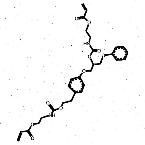 C=CC(=O)OCCNC(=O)OCCc1ccc(OCC(COc2ccccc2)OC(=O)NCCOC(=O)C=C)cc1